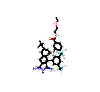 CCOCCOC(=O)c1cccc(Oc2cc(C(C)(C)C)cc3cc4c(c(-c5cc(C(F)(F)F)cc(C(F)(F)F)c5)c23)C(=N)NC4=N)c1